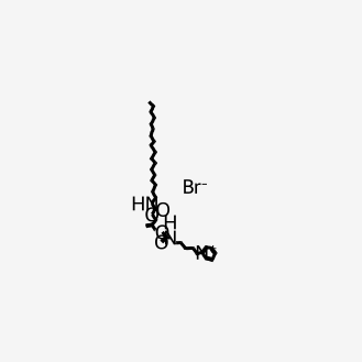 C=C(COC(=O)NCCCCCCCCCCCCCCCCCC)COC(=O)NCCCCC[n+]1ccccc1.[Br-]